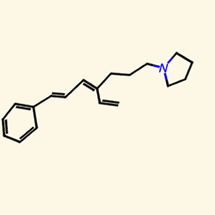 C=C/C(=C\C=C\c1ccccc1)CCCN1CCCC1